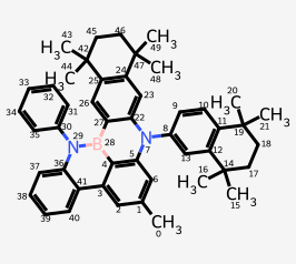 Cc1cc2c3c(c1)N(c1ccc4c(c1)C(C)(C)CCC4(C)C)c1cc4c(cc1B3N(c1ccccc1)c1ccccc1-2)C(C)(C)CCC4(C)C